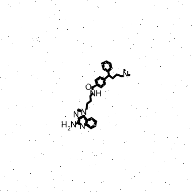 CN(C)CCCC(c1ccccc1)c1ccc(C(=O)NCCCCn2cnc3c(N)nc4ccccc4c32)cc1